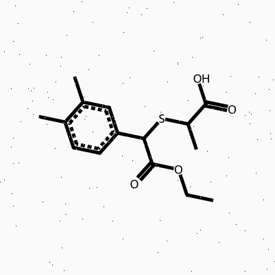 CCOC(=O)C(SC(C)C(=O)O)c1ccc(C)c(C)c1